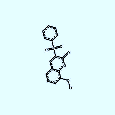 CCOc1cccc2cc(S(=O)(=O)c3ccccc3)c(=O)oc12